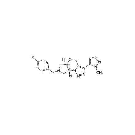 Cn1nccc1-c1nnn2c1CO[C@@H]1CN(Cc3ccc(F)cc3)C[C@H]12